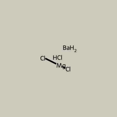 Cl.[BaH2].[Cl][Mg][Cl]